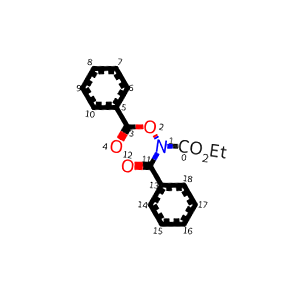 CCOC(=O)N(OC(=O)c1ccccc1)C(=O)c1ccccc1